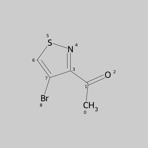 CC(=O)c1nscc1Br